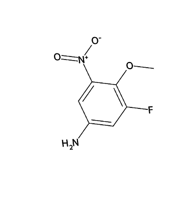 COc1c(F)cc(N)cc1[N+](=O)[O-]